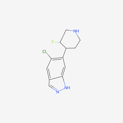 F[C@@H]1CNCCC1c1cc2[nH]ncc2cc1Cl